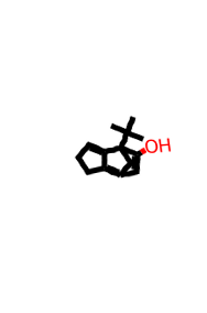 CC(C)(C)C12CC(=C3CCC=C31)C=C2O